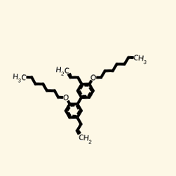 C=CCc1ccc(OCCCCCCC)c(-c2ccc(OCCCCCCC)c(CC=C)c2)c1